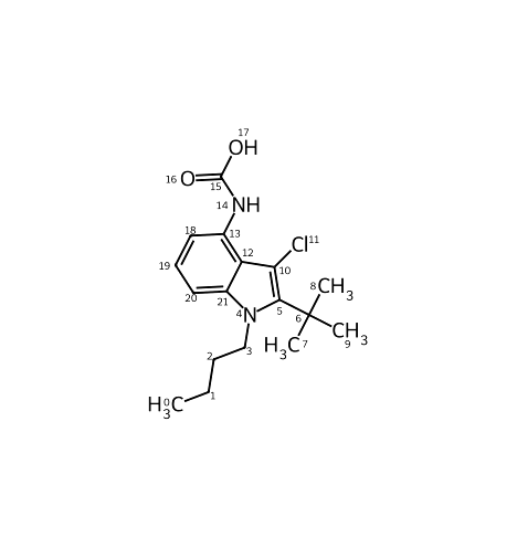 CCCCn1c(C(C)(C)C)c(Cl)c2c(NC(=O)O)cccc21